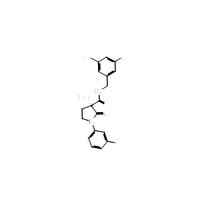 O=C(NCc1cc(F)cc(Cl)c1)[C@]1(O)CCN(c2cccc(F)c2)C1=O